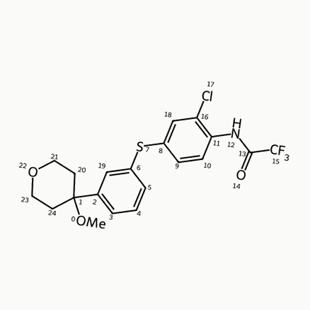 COC1(c2cccc(Sc3ccc(NC(=O)C(F)(F)F)c(Cl)c3)c2)CCOCC1